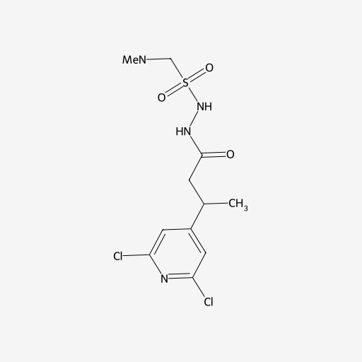 CNCS(=O)(=O)NNC(=O)CC(C)c1cc(Cl)nc(Cl)c1